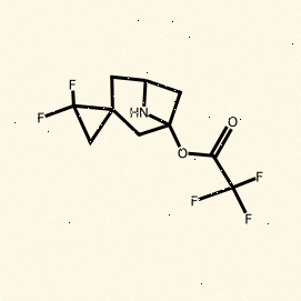 O=C(OC12CC(CC3(C1)CC3(F)F)N2)C(F)(F)F